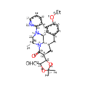 CCOc1ccc(CCC[C@H](C(=O)N2CCN(c3ccccn3)C[C@H]2C)C2OC(C)(C)OC2C=O)cc1